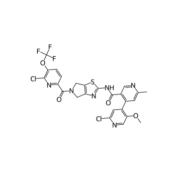 COc1cnc(Cl)cc1-c1cc(C)ncc1C(=O)Nc1nc2c(s1)CN(C(=O)c1ccc(OC(F)(F)F)c(Cl)n1)C2